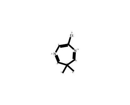 CCC1=CN=CC(C)(C)C=N1